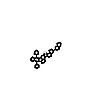 c1ccc(-c2c3c(c(-c4ccccc4)c4ccccc24)-c2cc4oc5c6ccc(-c7ccc8ccccc8c7)cc6ccc5c4c4cccc-3c24)cc1